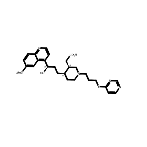 COc1ccc2nccc([C@H](O)CC[C@@H]3CCN(CCCSc4ccncn4)C[C@@H]3CC(=O)O)c2c1